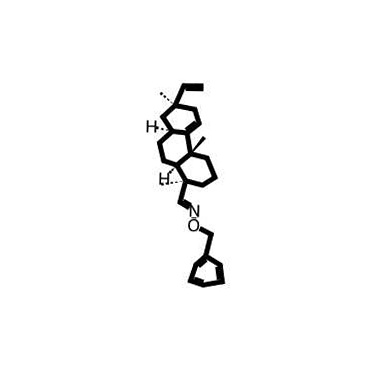 C=C[C@@]1(C)CC=C2[C@@H](CC[C@H]3[C@@]2(C)CCC[C@@]3(C)/C=N/OCc2ccccc2)C1